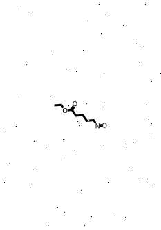 CCOC(=O)CCCCN=O